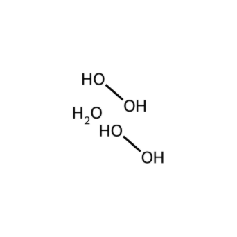 O.OO.OO